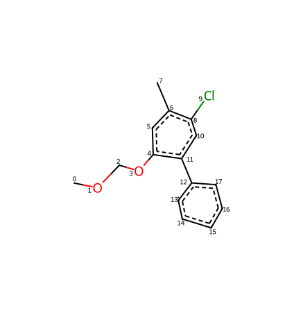 COCOc1cc(C)c(Cl)cc1-c1[c]cccc1